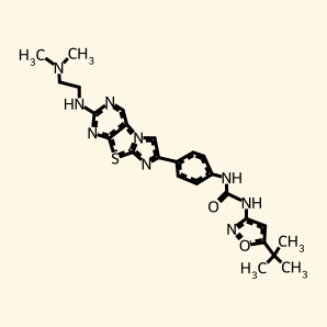 CN(C)CCNc1ncc2c(n1)sc1nc(-c3ccc(NC(=O)Nc4cc(C(C)(C)C)on4)cc3)cn12